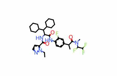 CCn1nccc1C(=O)NC(C(=O)Nc1ccc(C(C)C(=O)N(C)C(F)C(F)F)cc1F)C(C1CCCCC1)C1CCCCC1